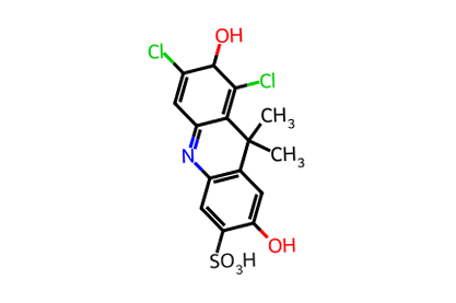 CC1(C)C2=C(Cl)C(O)C(Cl)=CC2=Nc2cc(S(=O)(=O)O)c(O)cc21